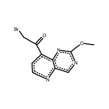 COc1ncc2nccc(C(=O)CBr)c2n1